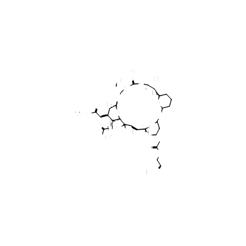 C=CCOC(=O)C[C@H]1CC2CC3CCC[C@@H](C[C@@H](O)CC(=C)O[C@@H](CO)C[C@@H]4C/C(=C\C(=O)OC)[C@H](OC(=O)CCCCCCC)[C@@](O)(O4)C(C)(C)/C=C/[C@H](O2)O1)O3